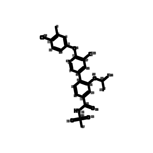 Cc1cc(Oc2ncc(-c3ccc(C(=O)NS(C)(=O)=O)cc3OC(F)F)cc2Cl)ccc1Cl